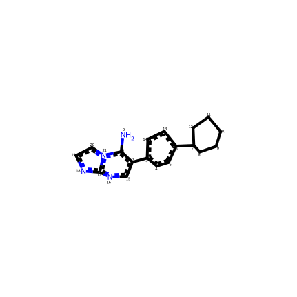 Nc1c(-c2ccc(C3CC[CH]CC3)cc2)cnc2nccn12